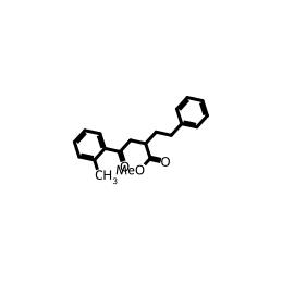 COC(=O)C(CCc1ccccc1)CC(=O)c1ccccc1C